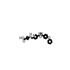 O=C(O)C1CC(NCc2ccc(-c3nnc(-c4ccc(OC5CCCCC5)cc4)o3)cn2)C1